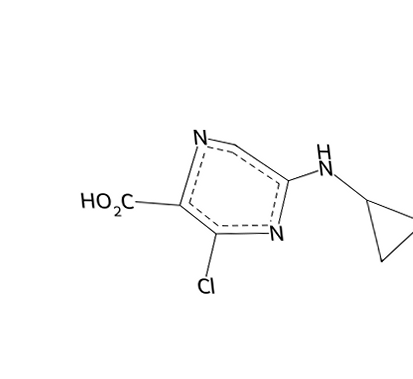 O=C(O)c1ncc(NC2CC2)nc1Cl